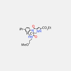 CCOC(=O)c1cc2n(n1)CC(C)(C(=O)NCCCOC)N(c1ccc(C(C)C)cc1)C2=O